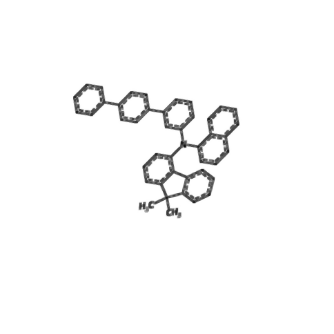 CC1(C)c2ccccc2-c2c(N(c3cccc(-c4ccc(-c5ccccc5)cc4)c3)c3cccc4ccccc34)cccc21